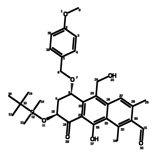 COc1ccc(CO[C@H]2C[C@H](O[Si](C)(C)C(C)(C)C)C(=O)c3c2c(CO)c2cc(C)c(C=O)c(C)c2c3O)cc1